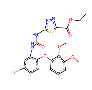 CCOC(=O)c1nnc(NC(=O)Nc2cc(F)ccc2Oc2cccc(OC)c2OC)s1